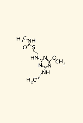 C=CCNc1nc(NCCSC(=O)NC)nc(OC)n1